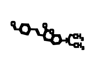 CCN(CC)c1ccc2cc(C=Cc3ccc(C=O)cc3)c(=O)oc2c1